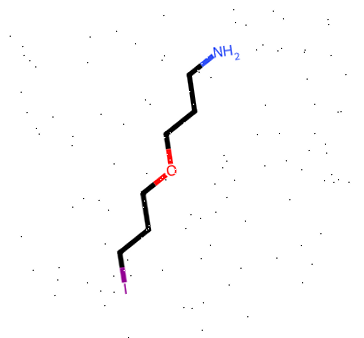 NCCCOCCCI